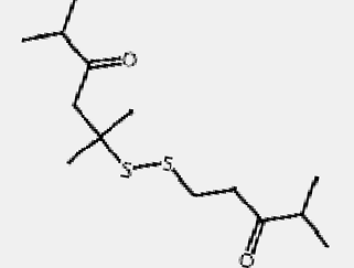 CC(C)C(=O)CCSSC(C)(C)CC(=O)C(C)C